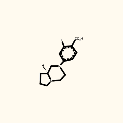 O=C(O)c1ccc(N2CCN3CCC[C@H]3C2)cc1F